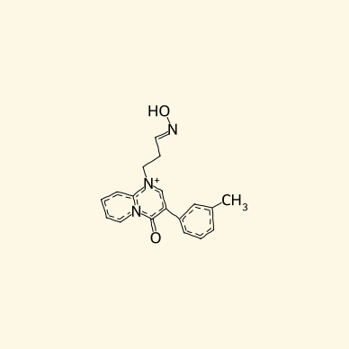 Cc1cccc(-c2c[n+](CCC=NO)c3ccccn3c2=O)c1